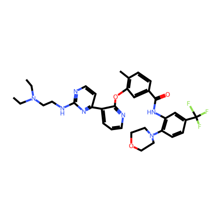 CCN(CC)CCNc1nccc(-c2cccnc2Oc2cc(C(=O)Nc3cc(C(F)(F)F)ccc3N3CCOCC3)ccc2C)n1